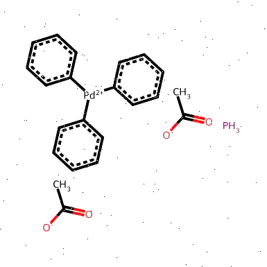 CC(=O)[O-].CC(=O)[O-].P.c1cc[c]([Pd+2]([c]2ccccc2)[c]2ccccc2)cc1